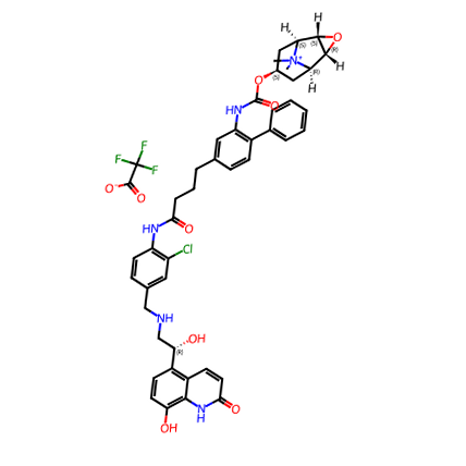 C[N+]1(C)[C@@H]2C[C@@H](OC(=O)Nc3cc(CCCC(=O)Nc4ccc(CNC[C@H](O)c5ccc(O)c6[nH]c(=O)ccc56)cc4Cl)ccc3-c3ccccc3)C[C@H]1[C@@H]1O[C@@H]12.O=C([O-])C(F)(F)F